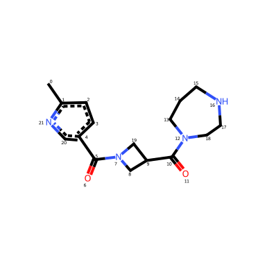 Cc1ccc(C(=O)N2CC(C(=O)N3CCCNCC3)C2)cn1